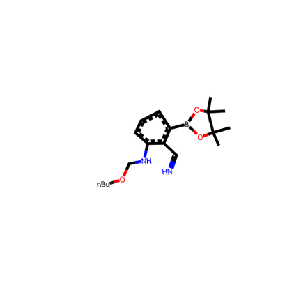 CCCCOCNc1cccc(B2OC(C)(C)C(C)(C)O2)c1C=N